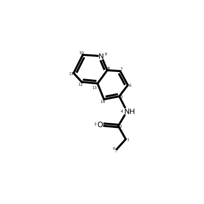 [CH2]CC(=O)Nc1ccc2ncccc2c1